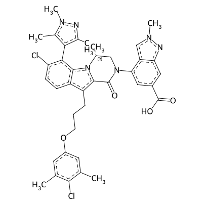 Cc1cc(OCCCc2c3n(c4c(-c5c(C)nn(C)c5C)c(Cl)ccc24)[C@H](C)CN(c2cc(C(=O)O)cc4nn(C)cc24)C3=O)cc(C)c1Cl